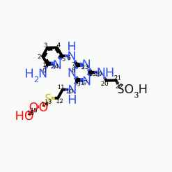 Nc1cccc(Nc2nc(NCCSOOO)nc(NCCS(=O)(=O)O)n2)n1